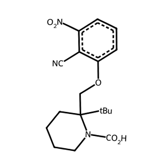 CC(C)(C)C1(COc2cccc([N+](=O)[O-])c2C#N)CCCCN1C(=O)O